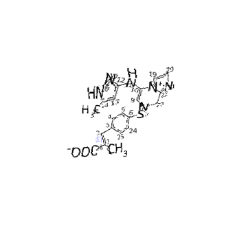 C/C(=C\c1ccc(SN2C=C(Nc3cc(C)[nH]n3)[N+]3C=CN=C3C2)cc1)C(=O)[O-]